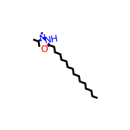 CCCCCCCCCCCCCCCC(=O)NN(C)C(C)C